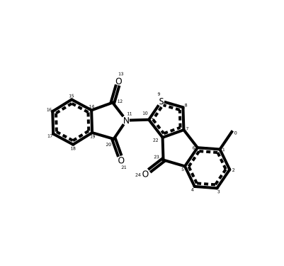 Cc1cccc2c1-c1csc(N3C(=O)c4ccccc4C3=O)c1C2=O